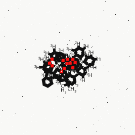 [2H]c1c([2H])c([2H])c([Si](c2c([2H])c([2H])c([2H])c([2H])c2[2H])(c2c([2H])c([2H])c([2H])c([2H])c2[2H])c2c([2H])c([2H])c([2H])c(-c3cccc(-c4c([2H])c([2H])c([2H])c([Si](c5c([2H])c([2H])c([2H])c([2H])c5[2H])(c5c([2H])c([2H])c([2H])c([2H])c5[2H])c5c([2H])c([2H])c([2H])c([2H])c5[2H])c4[2H])c3N3c4ccccc4N(c4cccc(Oc5ccc6c7ccccc7n(-c7cc(C(C)(C)C)ccn7)c6c5)c4)C3Br)c2[2H])c([2H])c1[2H]